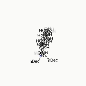 CCCCCCCCCCCCC/C=C/[C@@H](O)[C@H](CO[C@@H]1OC(CO)[C@@H](O[C@@H]2OC(CO)[C@H](O)[C@H](O[C@H]3OC(CO)[C@H](O)[C@H](O[C@H]4OC(CO)[C@H](O)[C@H](O)C4O)C3O)C2O)[C@H](O)C1O)NC(=O)CCCCCCCCCCCCCCC